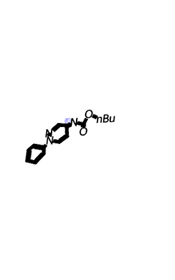 CCCCOC(=O)/N=c1\ccn(-c2ccccc2)nc1